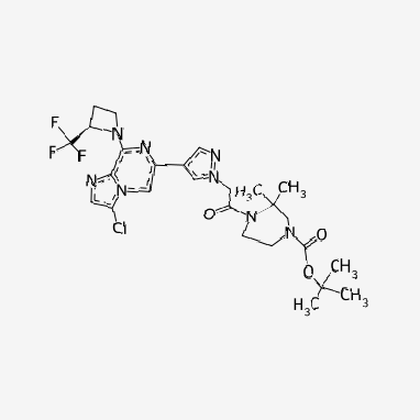 CC(C)(C)OC(=O)N1CCN(C(=O)Cn2cc(-c3cn4c(Cl)cnc4c(N4CC[C@@H]4C(F)(F)F)n3)cn2)C(C)(C)C1